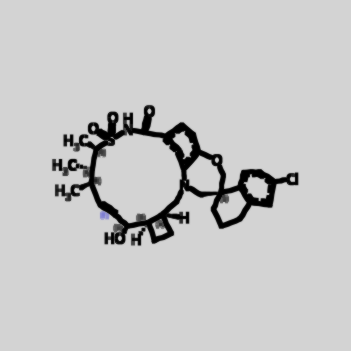 C[C@H]1[C@H](C)/C=C/[C@H](O)[C@@H]2CC[C@H]2CN2C[C@@]3(CCCc4cc(Cl)ccc43)COc3ccc(cc32)C(=O)NS(=O)(=O)[C@@H]1C